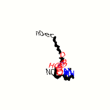 CCCCCCCCCCCCCCCCCCOCCCOP(=O)(O)OC[C@]1(C#N)CC[C@H](c2ccc3c(C)ncnn23)O1